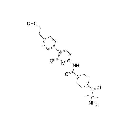 CC(C)(N)C(=O)N1CCN(C(=O)Nc2ccn(-c3ccc(CCC=O)cc3)c(=O)n2)CC1